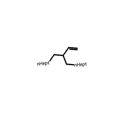 C=C[C](CCCCCCCC)CCCCCCCC